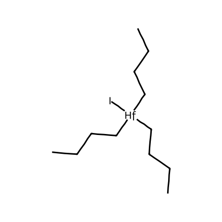 CCC[CH2][Hf]([I])([CH2]CCC)[CH2]CCC